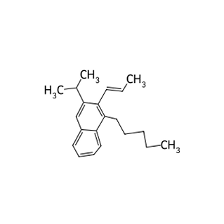 CC=Cc1c(C(C)C)cc2ccccc2c1CCCCC